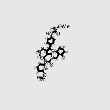 CONC(=O)Nc1ccc(-c2sc3c(c2CN(C)C)c(=O)n(-c2cccc(OC(F)F)n2)c(=O)n3Cc2c(F)cccc2F)cc1